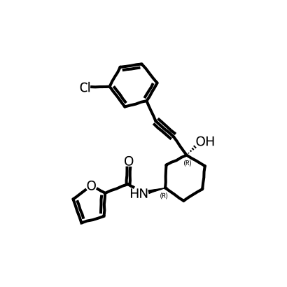 O=C(N[C@@H]1CCC[C@](O)(C#Cc2cccc(Cl)c2)C1)c1ccco1